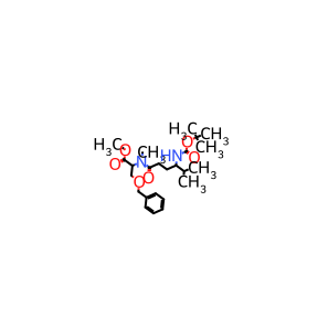 COC(=O)C(COCc1ccccc1)N(C)C(=O)CCC(NC(=O)OC(C)(C)C)C(C)C